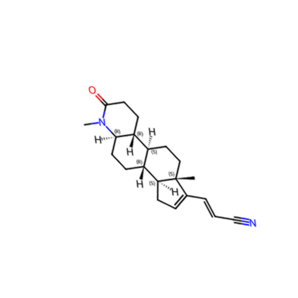 CN1C(=O)CC[C@@H]2[C@H]3CC[C@]4(C)C(C=CC#N)=CC[C@H]4[C@@H]3CC[C@H]21